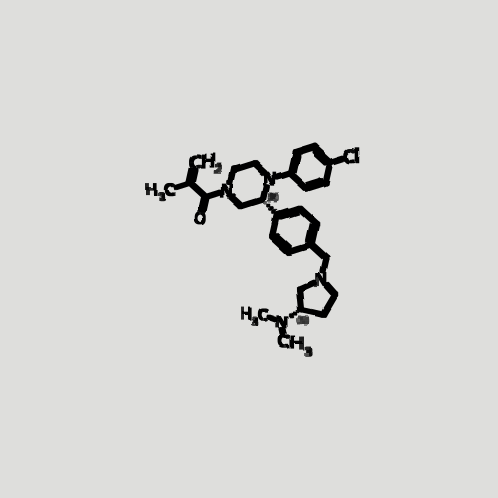 C=C(C)C(=O)N1CCN(c2ccc(Cl)cc2)[C@H](c2ccc(CN3CC[C@H](N(C)C)C3)cc2)C1